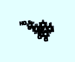 Cc1cnccc1-c1cccc(C2CN(C(=O)CS(=O)(=O)O)CCN2S(=O)(=O)c2cccc(Cl)c2Cl)c1